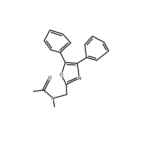 CC(=O)N(C)Cc1nc(-c2ccccc2)c(-c2ccccc2)o1